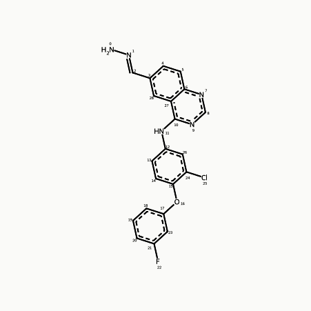 NN=Cc1ccc2ncnc(Nc3ccc(Oc4cccc(F)c4)c(Cl)c3)c2c1